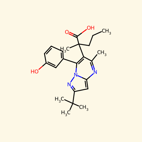 CCCC(C)(C(=O)O)c1c(C)nc2cc(C(C)(C)C)nn2c1-c1cccc(O)c1